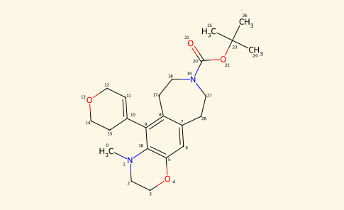 CN1CCOc2cc3c(c(C4=CCOCC4)c21)CCN(C(=O)OC(C)(C)C)CC3